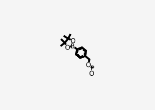 CC1(C)OB(c2ccc(COP=O)cc2)OC1(C)C